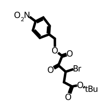 CC(C)(C)OC(=O)CC(Br)C(=O)C(=O)OCc1ccc([N+](=O)[O-])cc1